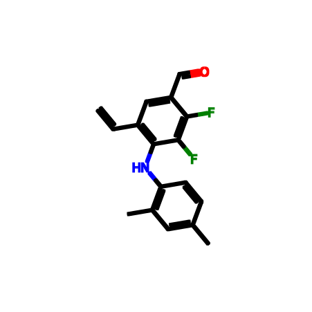 C=Cc1cc(C=O)c(F)c(F)c1Nc1ccc(C)cc1C